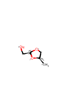 C[C@@H]1CO[C@H](CO)O1